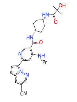 CC(C)Nc1cc(-c2ccc3cc(C#N)cnn23)ncc1C(=O)N[C@H]1CC[C@H](NC(=O)C(C)(C)O)CC1